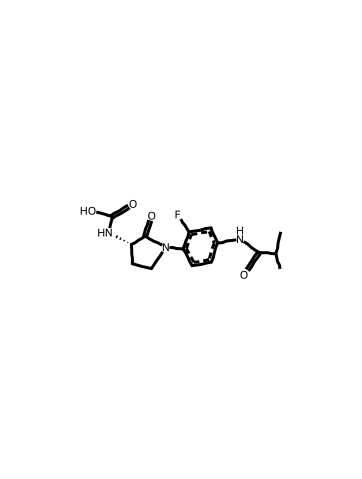 CC(C)C(=O)Nc1ccc(N2CC[C@H](NC(=O)O)C2=O)c(F)c1